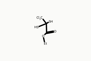 CCOC(=O)C(S)(S)C(Cl)(Cl)Cl